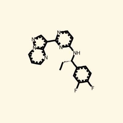 CC[C@H](Nc1ccnc(-c2cnn3cccnc23)n1)c1ccc(F)c(F)c1